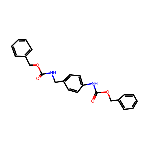 O=C(N[CH]c1ccc(NC(=O)OCc2ccccc2)cc1)OCc1ccccc1